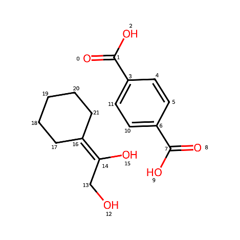 O=C(O)c1ccc(C(=O)O)cc1.OCC(O)=C1CCCCC1